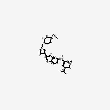 CO[C@H]1CC[C@H](Cn2cc(-c3cnc4ccc(NC5=CC(C(C)C)=CNN5)nc4c3)cn2)CC1